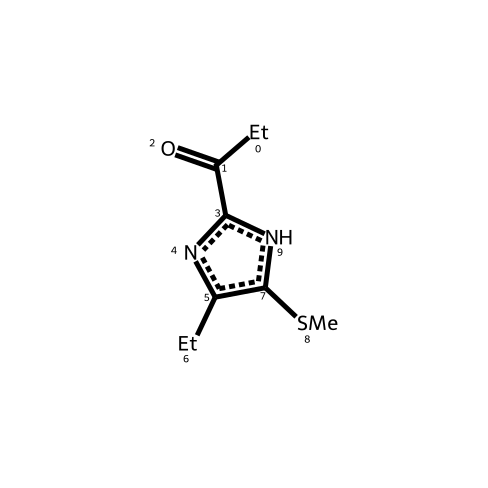 CCC(=O)c1nc(CC)c(SC)[nH]1